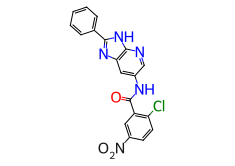 O=C(Nc1cnc2[nH]c(-c3ccccc3)nc2c1)c1cc([N+](=O)[O-])ccc1Cl